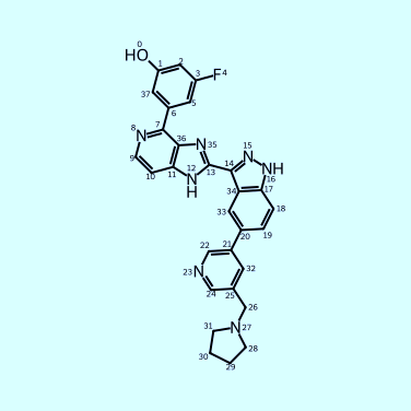 Oc1cc(F)cc(-c2nccc3[nH]c(-c4n[nH]c5ccc(-c6cncc(CN7CCCC7)c6)cc45)nc23)c1